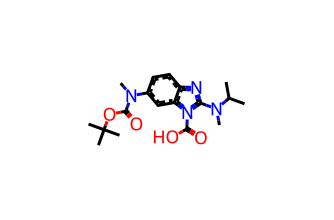 CC(C)N(C)c1nc2ccc(N(C)C(=O)OC(C)(C)C)cc2n1C(=O)O